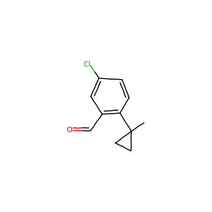 CC1(c2ccc(Cl)cc2C=O)CC1